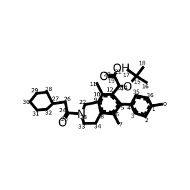 Cc1ccc(-c2c(C)c3c(c(C)c2[C@H](OC(C)(C)C)C(=O)O)CN(C(=O)CC2CCCCC2)CC3)cc1